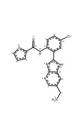 NCc1cnc2nc(-c3cc(Cl)ccc3NC(=O)c3ccco3)[nH]c2c1